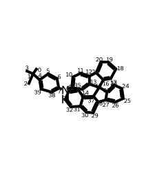 CC(C)(C)c1ccc(Nc2ccc3c(c2)C2(c4ccccc4-3)c3ccccc3-c3ccc4ccccc4c32)cc1